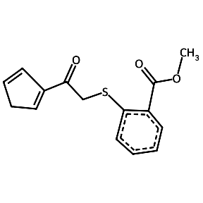 COC(=O)c1ccccc1SCC(=O)C1=CCC=C1